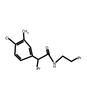 Cc1cc(C(C(=O)NCCC(C)C)C(C)C)ccc1Cl